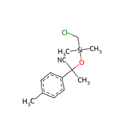 Cc1ccc(C(C)(C#N)O[Si](C)(C)CCl)cc1